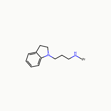 CC(C)NCCCN1CCc2ccccc21